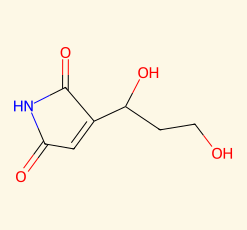 O=C1C=C(C(O)CCO)C(=O)N1